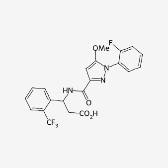 COc1cc(C(=O)NC(CC(=O)O)c2ccccc2C(F)(F)F)nn1-c1ccccc1F